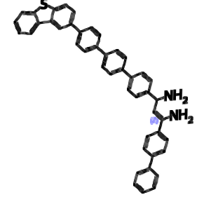 N/C(=C\C(N)c1ccc(-c2ccc(-c3ccc(-c4ccc5sc6ccccc6c5c4)cc3)cc2)cc1)c1ccc(-c2ccccc2)cc1